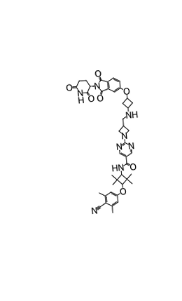 Cc1cc(OC2C(C)(C)C(NC(=O)c3cnc(N4CC(CNC5CC(Oc6ccc7c(c6)C(=O)N([C@@H]6CCC(=O)NC6=O)C7=O)C5)C4)nc3)C2(C)C)cc(C)c1C#N